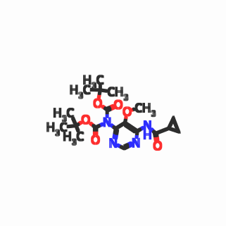 COc1c(NC(=O)C2CC2)ncnc1N(C(=O)OC(C)(C)C)C(=O)OC(C)(C)C